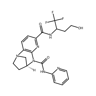 O=C(NC(CCO)C(F)(F)F)c1ccc2c(n1)N(C(=O)Nc1ccccn1)[C@H]1CCN2C1